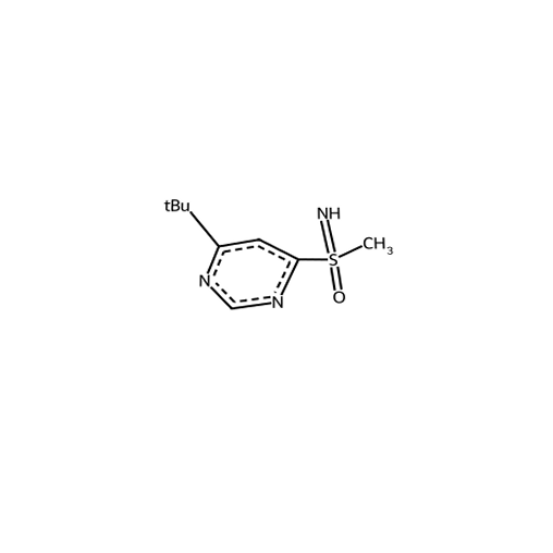 CC(C)(C)c1cc(S(C)(=N)=O)ncn1